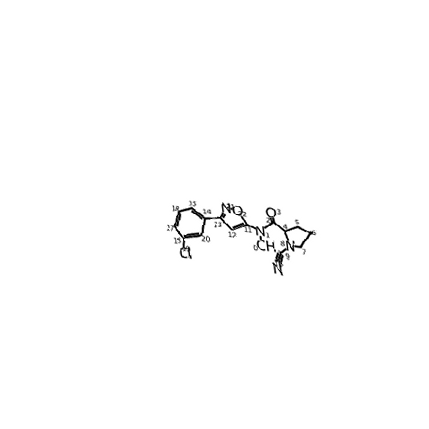 CN(C(=O)C1CCCN1C#N)c1cc(-c2cccc(Cl)c2)no1